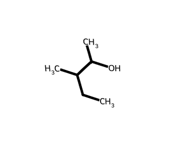 CCC(C)[C](C)O